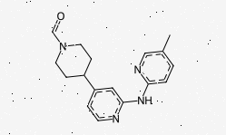 Cc1ccc(Nc2cc(C3CCN(C=O)CC3)ccn2)nc1